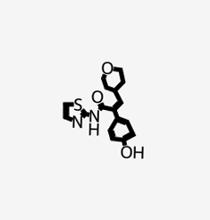 O=C(Nc1nccs1)C(=CC1CCOCC1)c1ccc(O)cc1